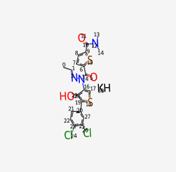 CC=NN(C(=O)c1ccc(C(=O)N(C)C)s1)c1csc(-c2ccc(Cl)c(Cl)c2)c1O.[KH]